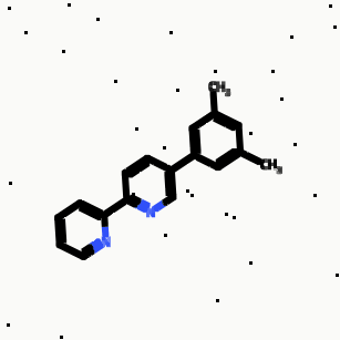 Cc1cc(C)cc(-c2ccc(-c3ccccn3)nc2)c1